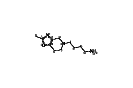 Cc1nc2c(o1)CCN(CCCCN)C2